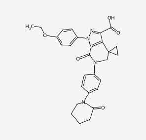 CCOc1ccc(-n2nc(C(=O)O)c3c2C(=O)N(c2ccc(N4CCCCC4=O)cc2)CC32CC2)cc1